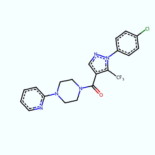 O=C(c1cnn(-c2ccc(Cl)cc2)c1C(F)(F)F)N1CCN(c2ccccn2)CC1